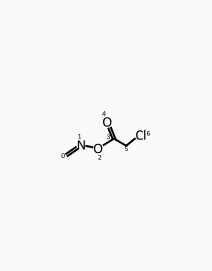 C=NOC(=O)CCl